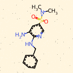 CN(C)S(=O)(=O)c1cnc(NCc2ccccc2)c(N)c1